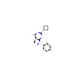 Fc1ccc(-n2ncc3c(Cl)nc(C4CCC4)nc32)c(F)c1